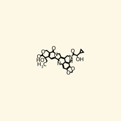 CC[C@@]1(O)C(=O)OCc2c1cc1n(c2=O)Cc2c-1nc1cc3c(c(F)c1c2CNC(=O)[C@H](O)C1CC1)OCO3